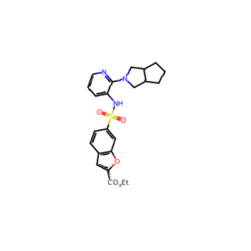 CCOC(=O)c1cc2ccc(S(=O)(=O)Nc3cccnc3N3CC4CCCC4C3)cc2o1